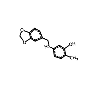 Cc1ccc(NCc2ccc3c(c2)OCO3)cc1O